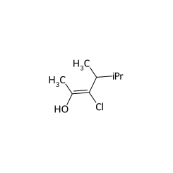 C/C(O)=C(/Cl)C(C)C(C)C